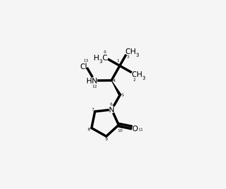 CC(C)(C)[C@@H](CN1CCCC1=O)NCl